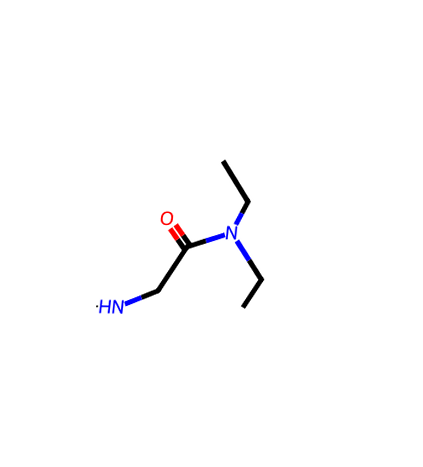 CCN(CC)C(=O)C[NH]